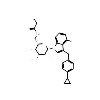 O=C(CCl)NC[C@H]1O[C@@H](n2cc(Cc3ccc(C4CC4)cc3)c3c(Cl)cccc32)[C@H](O)[C@@H](O)[C@@H]1O